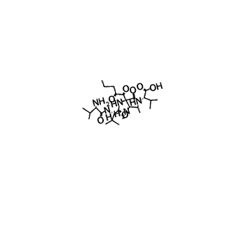 CCCC(=O)C(=O)[C@](NC(=O)[C@@H](NC(=O)[C@@H](N)C(C)C)C(C)C)(C(=O)N[C@H](C(=O)O)C(C)C)C(N)C(C)C